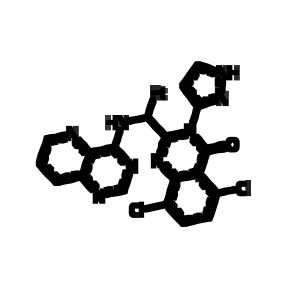 CCC(Nc1ncnc2cccnc12)c1nc2c(Cl)ccc(Cl)c2c(=O)n1-c1cc[nH]n1